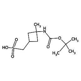 CC1(NC(=O)OC(C)(C)C)CC(CS(=O)(=O)O)C1